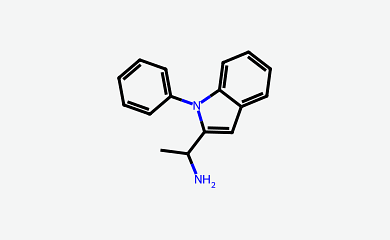 CC(N)c1cc2ccccc2n1-c1ccccc1